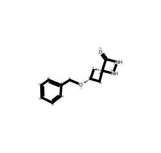 O=C1NN[C@]12C[C@@H](OCc1ccccc1)C2